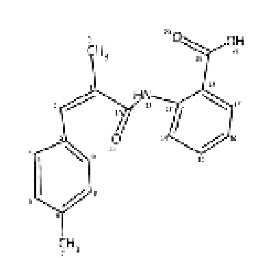 CC(=Cc1ccc(C)cc1)C(=O)Nc1ccccc1C(=O)O